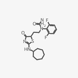 NC(=O)N(CCC1SC(NC2CCCCCC2)=NC1=O)c1c(F)cccc1F